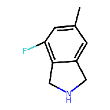 Cc1cc(F)c2c(c1)CNC2